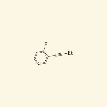 CCC#Cc1ccccc1F